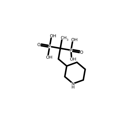 CC(CC1CCCNC1)(P(=O)(O)O)P(=O)(O)O